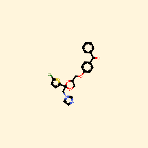 O=C(c1ccccc1)c1ccc(OCC2COC(Cn3ccnc3)(c3ccc(Cl)s3)O2)cc1